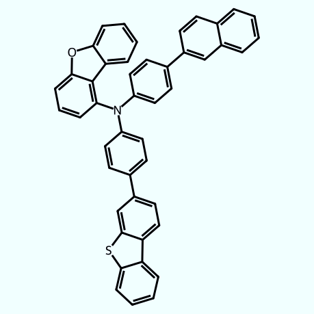 c1ccc2cc(-c3ccc(N(c4ccc(-c5ccc6c(c5)sc5ccccc56)cc4)c4cccc5oc6ccccc6c45)cc3)ccc2c1